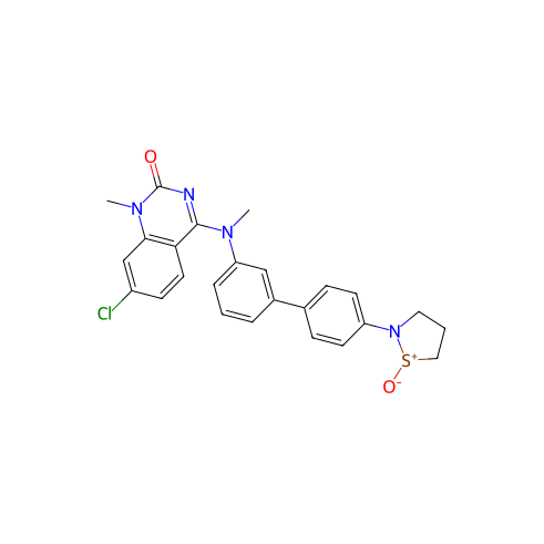 CN(c1cccc(-c2ccc(N3CCC[S+]3[O-])cc2)c1)c1nc(=O)n(C)c2cc(Cl)ccc12